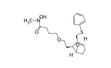 CN(O)C(=O)CCCOCC[C@H]1[C@@H](CSc2ccccc2)[C@H]2CC[C@@H]1O2